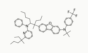 CCCCC(N(c1ccccc1)c1cccc(C(C)(CC)CCC)n1)C(C)(CCC)c1ccc2c(c1)oc1cc(N(c3ccc(C(F)(F)F)cc3)C(C)(C)C)ccc12